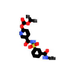 CCCCNC(=O)c1cccc(S(=O)(=O)NC(=O)c2ccc(OC(=O)OC(CC)CC)nc2)c1